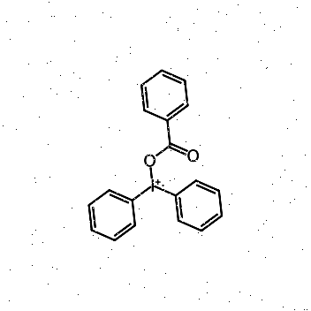 O=C(O[I+](c1ccccc1)c1ccccc1)c1ccccc1